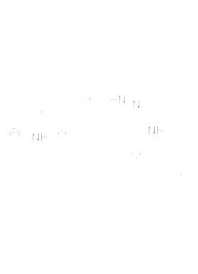 Cc1occc1C(=O)Nc1cc([C@@H]2C[C@H](OC(=O)NC(C)C)CO2)[nH]n1